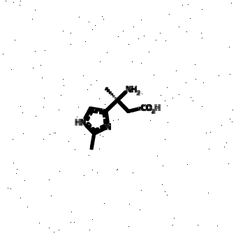 Cc1nc([C@@](C)(N)CC(=O)O)c[nH]1